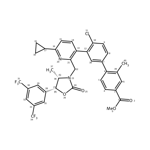 COC(=O)c1ccc(-c2ccc(Cl)c(-c3ccc(C4CC4)nc3CN3C(=O)O[C@H](c4cc(C(F)(F)F)cc(C(F)(F)F)c4)[C@@H]3C)c2)c(C)c1